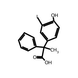 CC(C(=O)O)(c1ccccc1)c1ccc(O)c(I)c1